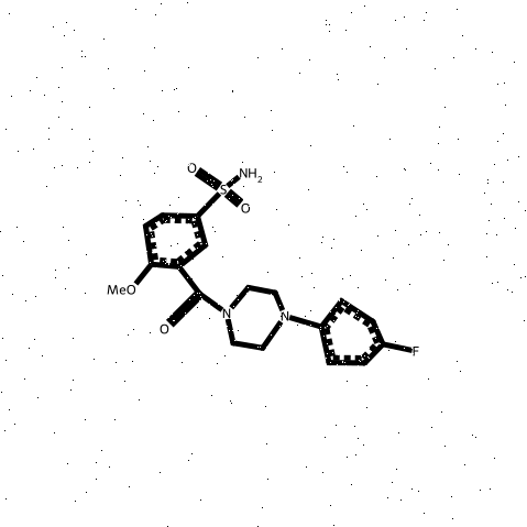 COc1ccc(S(N)(=O)=O)cc1C(=O)N1CCN(c2ccc(F)cc2)CC1